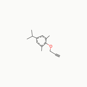 C#CCOc1c(C)cc(C(C)C)cc1C